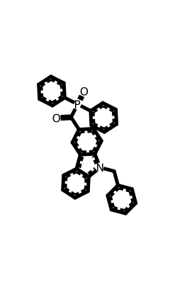 O=C(c1ccc2c(c1)c1ccccc1n2Cc1ccccc1)P(=O)(c1ccccc1)c1ccccc1